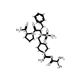 CC(C)[C@H](N)C(=O)N=C(N)N1CCC(CN([C@H](Cc2ccccc2)C(=O)N2CCC[C@H]2C(N)=O)S(C)(=O)=O)CC1